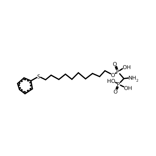 NC(P(=O)(O)O)P(=O)(O)OCCCCCCCCCCSc1ccccc1